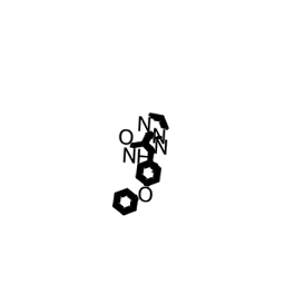 NC(=O)c1c(-c2ccc(Oc3ccccc3)cc2)nn2cccnc12